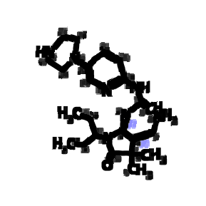 C=C(/N=C1\C(=C/N)C(C)(C)C(=O)N1C(CC)CC)Nc1ccc(N2CCNCC2)cn1